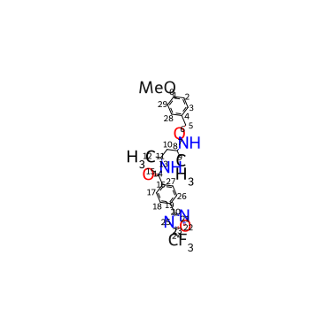 COc1ccc(CONC(C)CC(C)NC(=O)c2ccc(-c3noc(C(F)(F)F)n3)cc2)cc1